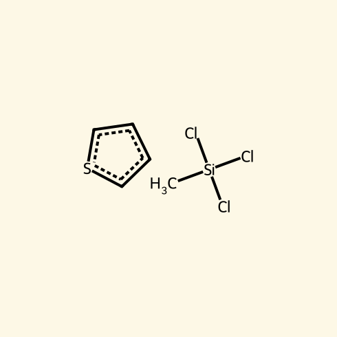 C[Si](Cl)(Cl)Cl.c1ccsc1